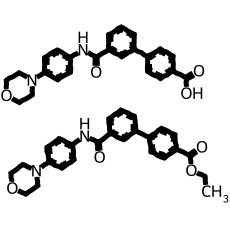 CCOC(=O)c1ccc(-c2cccc(C(=O)Nc3ccc(N4CCOCC4)cc3)c2)cc1.O=C(O)c1ccc(-c2cccc(C(=O)Nc3ccc(N4CCOCC4)cc3)c2)cc1